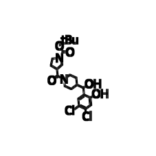 CC(C)(C)OC(=O)N1CCC(C(=O)N2CCC(C(O)c3cc(Cl)c(Cl)cc3O)CC2)C1